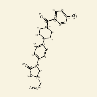 CC(=O)NC[C@H]1CN(c2ccc(N3CCN(C(=O)c4ccc(C(F)(F)F)cc4)CC3)nc2)C(=O)O1